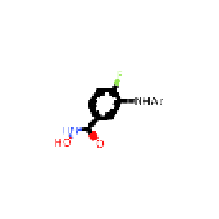 CC(=O)Nc1cc(C(=O)NO)ccc1F